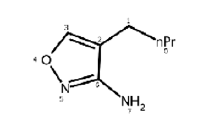 CCCCc1conc1N